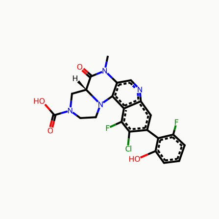 CN1C(=O)[C@H]2CN(C(=O)O)CCN2c2c1cnc1cc(-c3c(O)cccc3F)c(Cl)c(F)c21